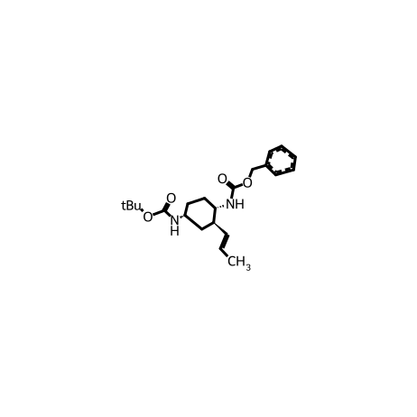 CC=C[C@H]1C[C@H](NC(=O)OC(C)(C)C)CC[C@@H]1NC(=O)OCc1ccccc1